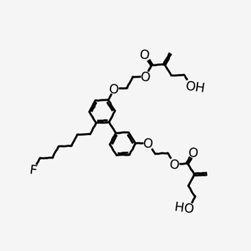 C=C(CCO)C(=O)OCCOc1cccc(-c2cc(OCCOC(=O)C(=C)CCO)ccc2CCCCCCF)c1